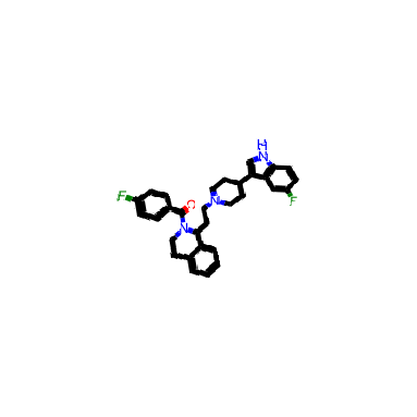 O=C(c1ccc(F)cc1)N1CCc2ccccc2C1CCN1CCC(c2c[nH]c3ccc(F)cc23)CC1